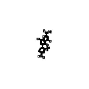 CC1(C)Oc2c(cc(Cl)c3oc(C(=O)O)cc(=O)c23)-c2ccc([N+](=O)[O-])cc21